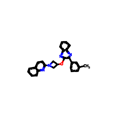 Cc1cccc(-c2nc3ccccc3nc2OC2CN(c3ccc4ccccc4n3)C2)c1